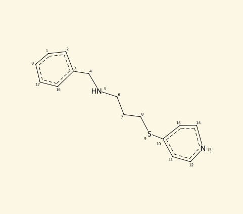 c1ccc(CNCCCSc2ccncc2)cc1